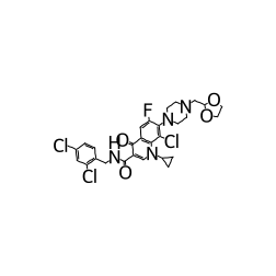 O=C(NCc1ccc(Cl)cc1Cl)c1cn(C2CC2)c2c(Cl)c(N3CCN(CC4OCCO4)CC3)c(F)cc2c1=O